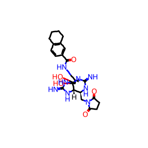 N=C1N[C@H]2[C@H](CN3C(=O)CCC3=O)NC(=N)N3CC(NC(=O)c4ccc5c(c4)CCCC5)C(O)(O)[C@]23N1